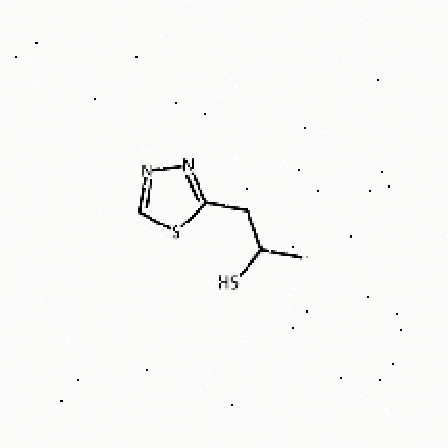 [CH2]C(S)Cc1nncs1